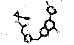 Cn1cc(-c2cc(Cl)c3nc(Cc4nnc(CC(=O)NC5(C#N)CC5)o4)sc3c2)cn1